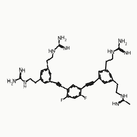 CC(=N)NCCc1cc(C#Cc2cc(C#Cc3cc(CCNC(=N)N)cc(CCNC(=N)N)c3)c(F)cc2F)cc(CCNC(=N)N)c1